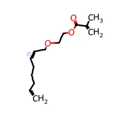 C=CCCC/C=C\COCCOC(=O)C(=C)C